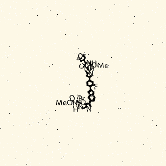 COC(=O)NC(C(=O)NCC1=NC=C(c2ccc(C3=Cc4cc(C5=CN=C(CN(C)C(=O)[C@@H](NC(=O)OC)C(C)C)C5)ccc4C3)c(F)c2)C1)C1C[C@@H](C)O[C@@H](C)C1